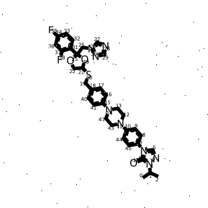 CC(C)n1ncn(-c2ccc(N3CCN(c4ccc(CSC5COC(Cn6cncn6)(c6ccc(F)cc6F)O5)cc4)CC3)cc2)c1=O